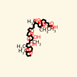 C=C1C(O)C2OC3(CCC(/C=C/C(C)C4CC(C)=CC5(OC(CC(C)(O)C(=O)O)CCC5O)O4)O3)CCC2OC1C(O)CC(C)C1CCCC2(OCCCC2C)O1